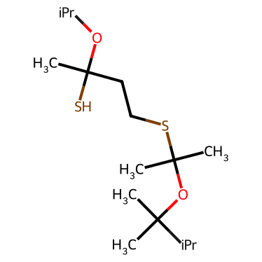 CC(C)OC(C)(S)CCSC(C)(C)OC(C)(C)C(C)C